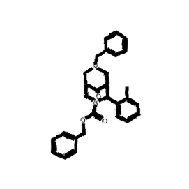 Cc1ccccc1C1C2CN(Cc3ccccc3)CC(CN1C(=O)OCc1ccccc1)C2=O